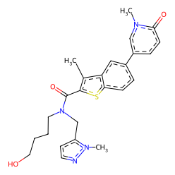 Cc1c(C(=O)N(CCCCO)Cc2ccnn2C)sc2ccc(-c3ccc(=O)n(C)c3)cc12